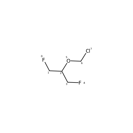 FCC(CF)OCCl